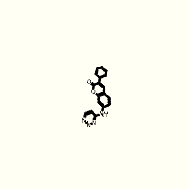 O=c1oc2cc(Nc3ccnnn3)ccc2cc1-c1ccccc1